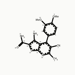 COc1ccc(-c2c(C#N)c(C)nc3sc(C(N)=O)c(N)c23)cc1OC